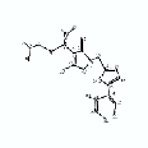 C=C1C(/C(CCC(C)F)=N\C)=C(C)CN1Cc1ccc(C(=C/C)/C(C)=C\C)s1